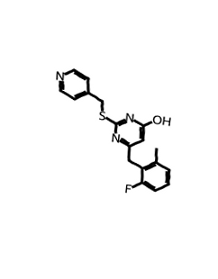 Cc1cccc(F)c1Cc1cc(O)nc(SCc2ccncc2)n1